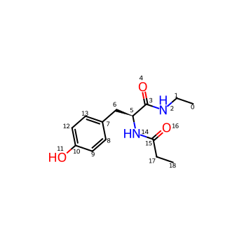 CCNC(=O)[C@H](Cc1ccc(O)cc1)NC(=O)CC